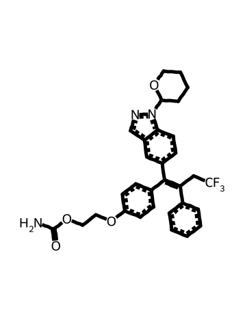 NC(=O)OCCOc1ccc(/C(=C(/CC(F)(F)F)c2ccccc2)c2ccc3c(cnn3C3CCCCO3)c2)cc1